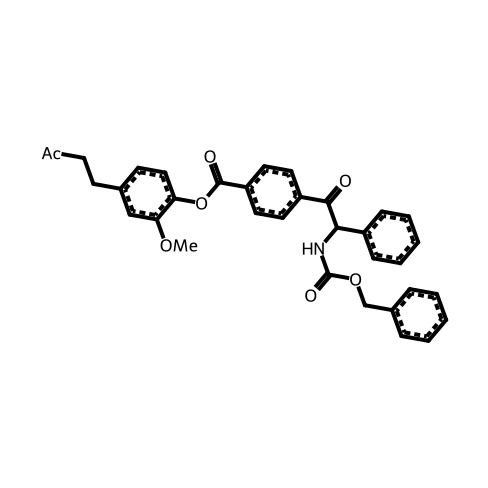 COc1cc(CCC(C)=O)ccc1OC(=O)c1ccc(C(=O)C(NC(=O)OCc2ccccc2)c2ccccc2)cc1